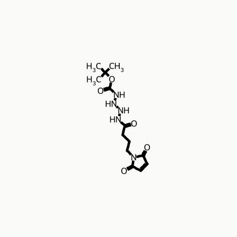 CC(C)(C)OC(=O)NNNNC(=O)CCCN1C(=O)C=CC1=O